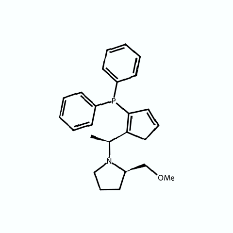 COC[C@H]1CCCN1[C@@H](C)C1=C(P(c2ccccc2)c2ccccc2)C=CC1